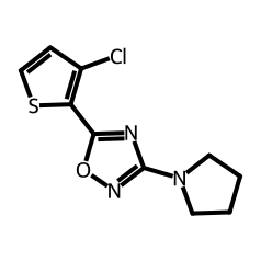 Clc1ccsc1-c1nc(N2CCCC2)no1